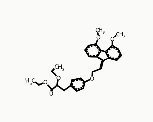 CCOC(=O)C(Cc1ccc(OCC=C2c3cccc(OC)c3-c3c(OC)cccc32)cc1)OCC